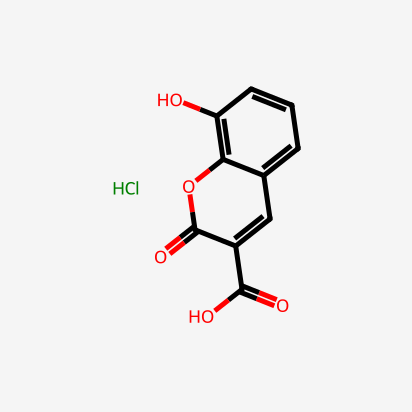 Cl.O=C(O)c1cc2cccc(O)c2oc1=O